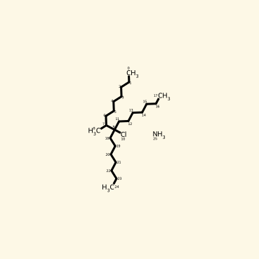 CCCCCCCC(C)C(Cl)(CCCCCCC)CCCCCCC.N